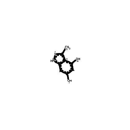 Cc1n[nH]c2cc(O)cc(O)c12